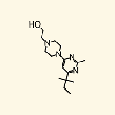 CCC(C)(C)c1cc(N2CCN(CCO)CC2)nc(C)n1